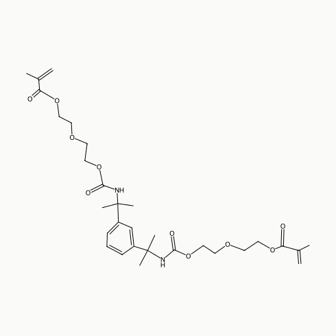 C=C(C)C(=O)OCCOCCOC(=O)NC(C)(C)c1cccc(C(C)(C)NC(=O)OCCOCCOC(=O)C(=C)C)c1